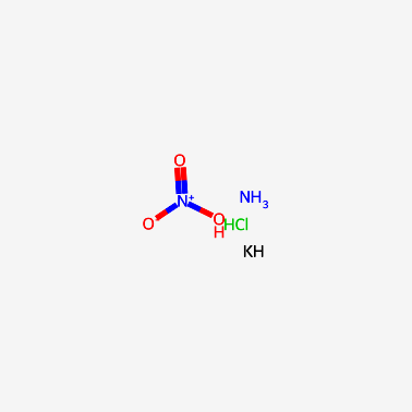 Cl.N.O=[N+]([O-])O.[KH]